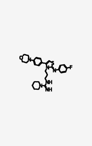 N=C(NCCCn1c(-c2ccc(N3CCOCC3)cc2)cs/c1=N\c1ccc(F)cc1)N1CCCCC1